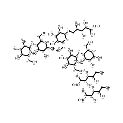 O=C[C@H](O)[C@@H](O)[C@H](O)[C@H](O)CO.O=C[C@H](O)[C@@H](O)[C@H](O)[C@H](O)CO.O=C[C@H](O)[C@@H](O)[C@H](O)[C@H](O)CO[C@H]1O[C@H](CO)[C@@H](O)[C@H](O)[C@H]1O.OC[C@H]1O[C@H](O[C@H]2[C@H](O)[C@@H](O)[C@H](O)O[C@@H]2CO)[C@H](O)[C@@H](O)[C@@H]1O.OC[C@H]1O[C@H](O[C@H]2[C@H](O)[C@@H](O)[C@H](O)O[C@@H]2CO)[C@H](O)[C@@H](O)[C@@H]1O